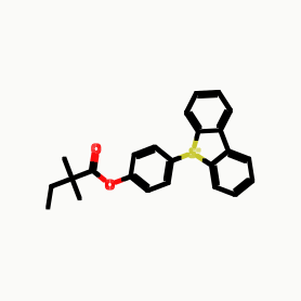 CCC(C)(C)C(=O)Oc1ccc(-[s+]2c3ccccc3c3ccccc32)cc1